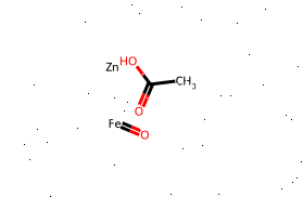 CC(=O)O.[O]=[Fe].[Zn]